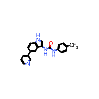 O=C(Nc1ccc(C(F)(F)F)cc1)Nc1c[nH]c2ccc(-c3cccnc3)cc12